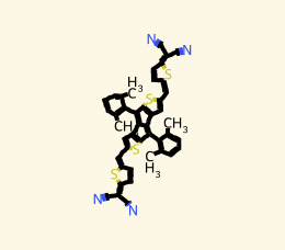 Cc1cccc(C)c1C1=C2C(=C(c3c(C)cccc3C)c3sc(/C=c4\ccc(=C(C#N)C#N)s4)cc32)c2cc(/C=c3\ccc(=C(C#N)C#N)s3)sc21